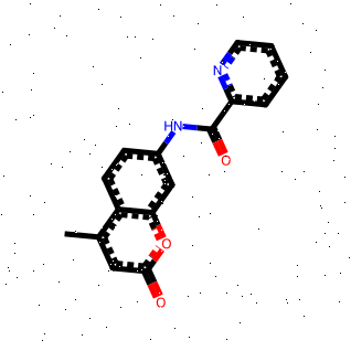 Cc1cc(=O)oc2cc(NC(=O)c3ccccn3)ccc12